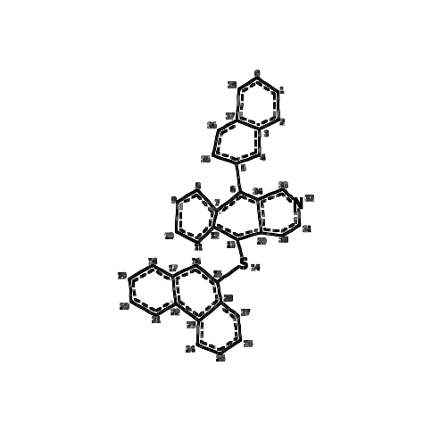 c1ccc2cc(-c3c4ccccc4c(Sc4cc5ccccc5c5ccccc45)c4ccncc34)ccc2c1